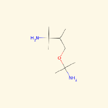 CC(COC(C)(C)N)C(C)(C)N